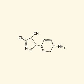 N#CC1C(Cl)=NSC1C1=CCC(N)C=C1